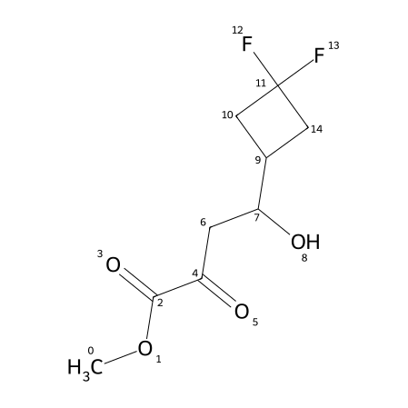 COC(=O)C(=O)CC(O)C1CC(F)(F)C1